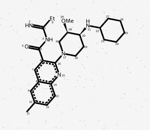 CCC(=N)NC(=O)c1cc2cc(C)ccc2nc1N1CC[C@H](NC2CCCCC2)[C@H](OC)C1